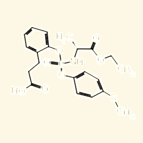 CCOC(=O)[C@H](C)NP(=O)(Oc1ccc(SC)cc1)Oc1ccccc1CCC(=O)O